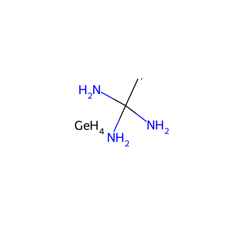 [CH2]C(N)(N)N.[GeH4]